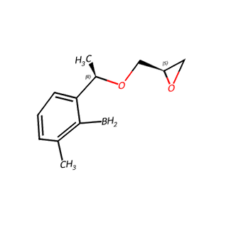 Bc1c(C)cccc1[C@@H](C)OC[C@H]1CO1